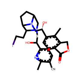 Cc1nc(C(O)CN2CC3CCC(C2CCI)N3C[C@H](O)c2ccc3c(c2C)COC3=O)ccc1C#N